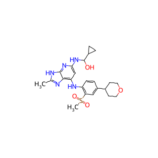 Cc1nc2c(Nc3ccc(C4CCOCC4)cc3S(C)(=O)=O)cc(NC(O)C3CC3)nc2[nH]1